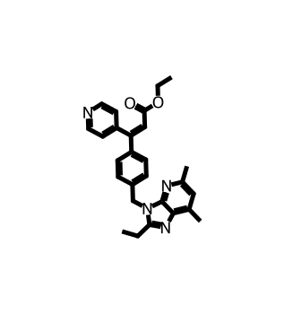 CCOC(=O)C=C(c1ccncc1)c1ccc(Cn2c(CC)nc3c(C)cc(C)nc32)cc1